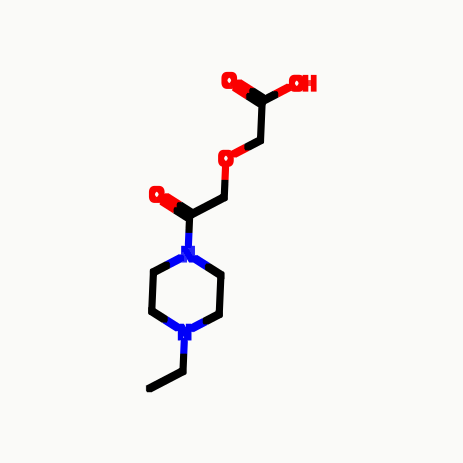 CCN1CCN(C(=O)COCC(=O)O)CC1